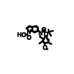 COc1c(C)cnc(CN(C(=O)OC(C)(C)C)c2ccc3ccn(C(=O)O)c3c2)c1C